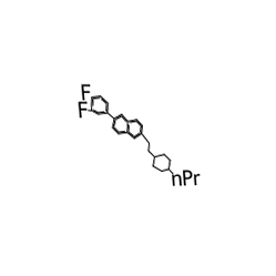 CCCC1CCC(CCc2ccc3cc(-c4ccc(F)c(F)c4)ccc3c2)CC1